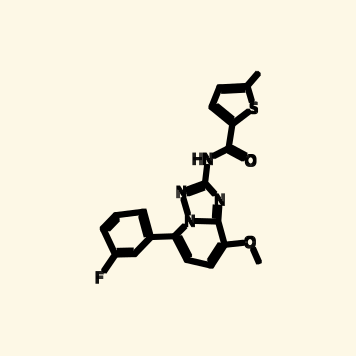 COc1ccc(-c2cccc(F)c2)n2nc(NC(=O)c3ccc(C)s3)nc12